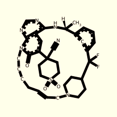 C[C@H]1Nc2ncnc3c2cc(C2(C#N)CCS(=O)(=O)CC2)c(=O)n3CCCC/C=C/CN2CCC(CC2)C(F)(F)c2cccc1c2